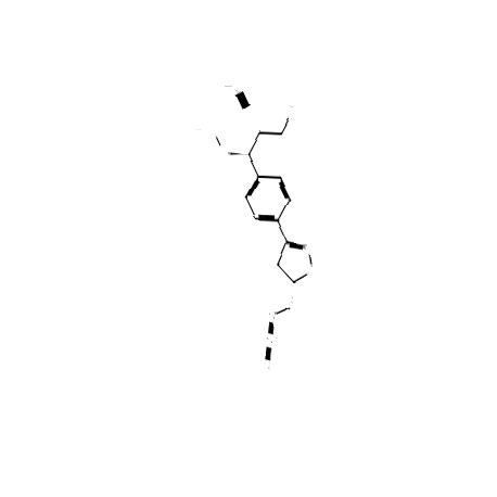 C#C[C@H](CF)[C@H](OC)c1ccc(C2=NO[C@H](CN=[N+]=[N-])C2)cc1